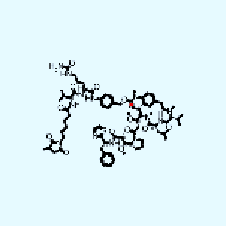 CC[C@H](C)[C@@H]([C@@H](CC(=O)N1CCC[C@H]1[C@H](OC)[C@@H](C)C(=O)N[C@@H](Cc1ccccc1)c1nccs1)OC)N(C)C(=O)[C@H](CC(C)C)NC(=O)[C@H](C(C)C)N(C)CCc1ccc(N(C)C(=O)OCc2ccc(NC(=O)[C@H](CCCNC(N)=O)NC(=O)[C@@H](NC(=O)CCCCCN3C(=O)CC(C)C3=O)C(C)C)cc2)cc1